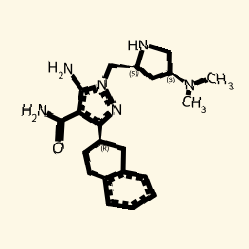 CN(C)[C@@H]1CN[C@H](Cn2nc([C@@H]3CCc4ccccc4C3)c(C(N)=O)c2N)C1